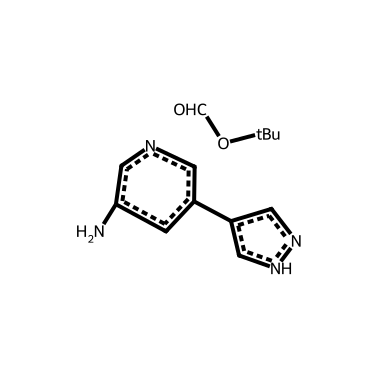 CC(C)(C)OC=O.Nc1cncc(-c2cn[nH]c2)c1